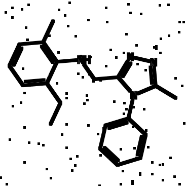 CCc1cccc(C)c1NCc1nnc(C)n1-c1ccccc1